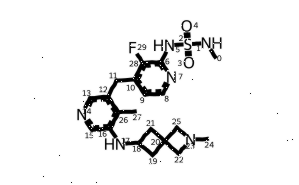 CNS(=O)(=O)Nc1nccc(Cc2cncc(NC3CC4(C3)CN(C)C4)c2C)c1F